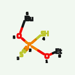 CCOP(=S)(S)OC(C)CC